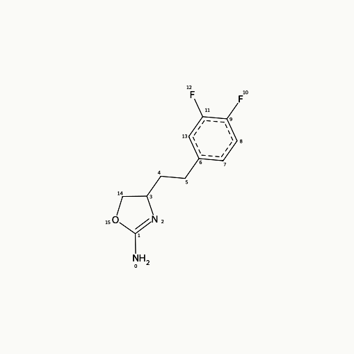 NC1=NC(CCc2ccc(F)c(F)c2)CO1